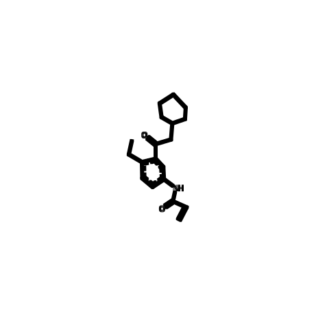 C=CC(=O)Nc1ccc(CC)c(C(=O)CC2CCCCC2)c1